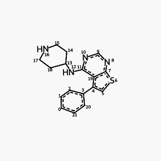 c1ccc(-c2csc3ncnc(NC4CCNCC4)c23)cc1